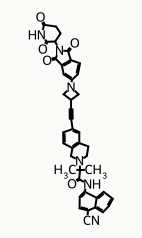 CC(C)(C(=O)Nc1ccc(C#N)c2ccccc12)N1CCc2cc(C#CC3CN(c4ccc5c(c4)C(=O)N(C4CCC(=O)NC4=O)C5=O)C3)ccc2C1